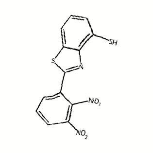 O=[N+]([O-])c1cccc(-c2nc3c(S)cccc3s2)c1[N+](=O)[O-]